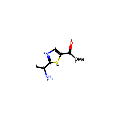 COC(=O)c1cnc(C(C)N)s1